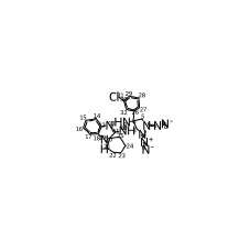 [N-]=[N+]=NCC(CN=[N+]=[N-])(NNC1=Nc2ccccc2NC12CCCCC2)c1cccc(Cl)c1